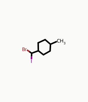 CC1CCC(C(Br)I)CC1